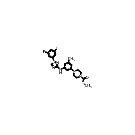 COC(=O)N1CCN(c2cc(C)cc(Nc3ncn(-c4cc(F)cc(F)c4)n3)c2)CC1